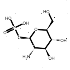 N[C@@H]1[C@@H](OP(=O)(O)O)O[C@@H](CO)[C@H](O)[C@H]1O